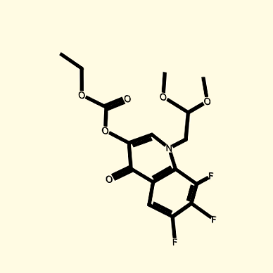 CCOC(=O)Oc1cn(CC(OC)OC)c2c(F)c(F)c(F)cc2c1=O